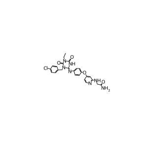 CCn1c(=O)[nH]/c(=N\c2ccc(Oc3ccnc(NCC(N)=O)c3)cc2)n(Cc2ccc(Cl)cc2)c1=O